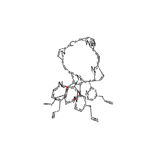 C=CCc1ccnc(-c2c(-c3cc(CC=C)ccn3)c3c(-c4cc(CC=C)ccn4)c4nc(cc5ccc(cc6nc(cc2n3-c2cc(CC=C)ccn2)C=C6)[nH]5)C=C4)c1